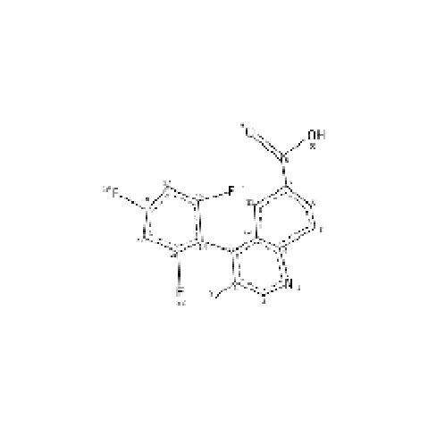 Cc1cnc2ccc(C(=O)O)cc2c1-c1c(F)cc(F)cc1F